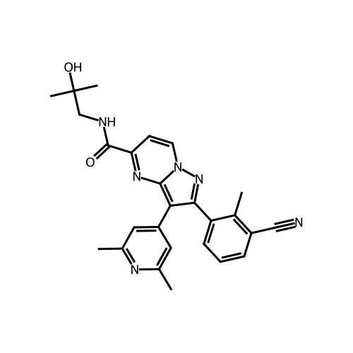 Cc1cc(-c2c(-c3cccc(C#N)c3C)nn3ccc(C(=O)NCC(C)(C)O)nc23)cc(C)n1